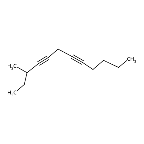 CCCCC#C[CH]C#CC(C)CC